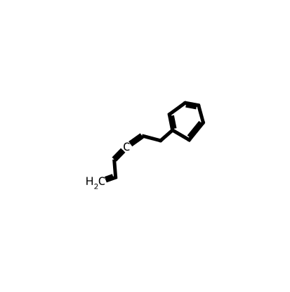 C=CC=C=CCc1ccccc1